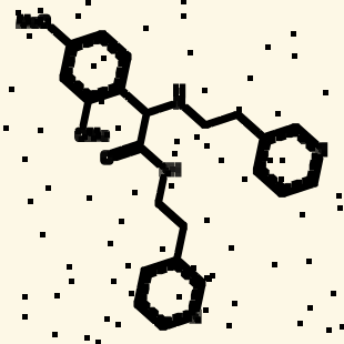 COc1ccc(C(NCCc2cccnc2)C(=O)NCCc2cccnc2)c(OC)c1